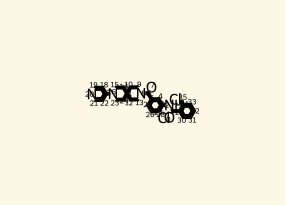 O=C(Nc1cc(C(=O)N2CCC3(CC2)CCN(c2ccncc2)CC3)ccc1Cl)c1ccccc1Cl